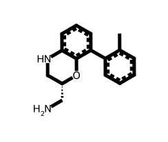 Cc1ccccc1-c1cccc2c1O[C@H](CN)CN2